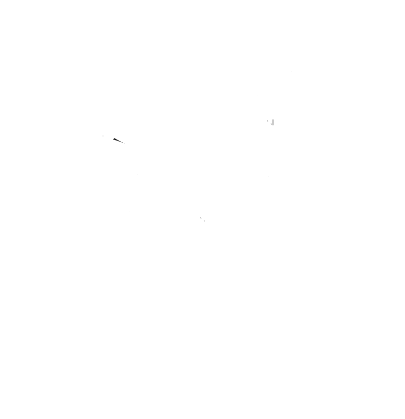 CO[C@H]1C/C=C/[C@H](O)C2CCC2CN2CCCCc3cc(Cl)ccc3COc3ccc(cc32)C(=O)NS(=O)(=O)[C@H]1CC1CCC1